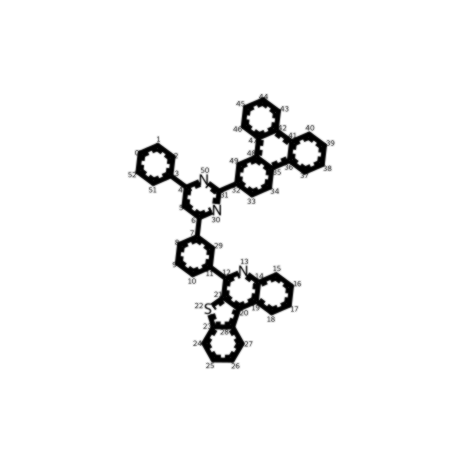 c1ccc(-c2cc(-c3cccc(-c4nc5ccccc5c5c4sc4ccccc45)c3)nc(-c3ccc4c5ccccc5c5ccccc5c4c3)n2)cc1